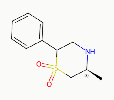 C[C@H]1CS(=O)(=O)C(c2ccccc2)CN1